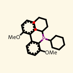 COc1ccccc1-c1cccc(OC)c1P(C1CCCCC1)C1CCCCC1